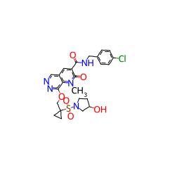 Cn1c(=O)c(C(=O)NCc2ccc(Cl)cc2)cc2cnnc(OCC3(S(=O)(=O)N4CCC(O)C4)CC3)c21